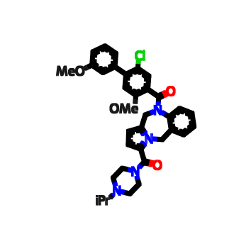 COc1cccc(-c2cc(OC)c(C(=O)N3Cc4ccc(C(=O)N5CCN(C(C)C)CC5)n4Cc4ccccc43)cc2Cl)c1